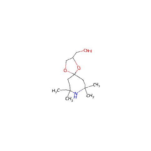 CC1(C)CC2(CC(C)(C)N1)OCC(CO)O2